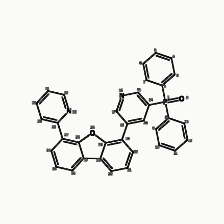 O=P(c1ccccc1)(c1ccccc1)c1cncc(-c2cccc3c2oc2c(-c4ccccn4)cccc23)c1